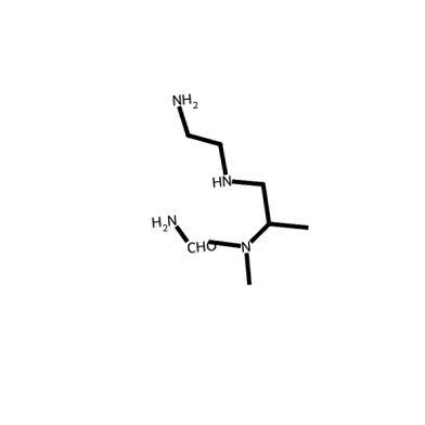 CC(CNCCN)N(C)C.NC=O